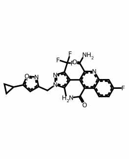 Cc1c(-c2c(C(N)=O)nc3cc(F)ccc3c2C(N)=O)c(C(F)(F)F)nn1Cc1cc(C2CC2)on1